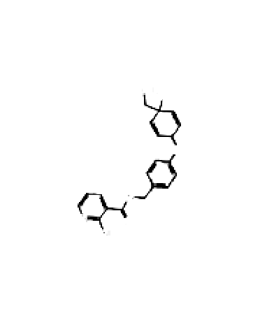 CCC1(Cl)C=CC(Oc2ccc(CNC(=O)c3cccnc3N)cc2)C=C1